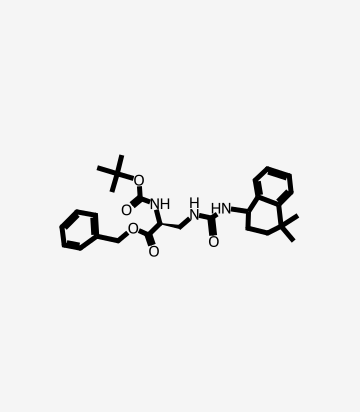 CC(C)(C)OC(=O)N[C@@H](CNC(=O)NC1CCC(C)(C)c2ccccc21)C(=O)OCc1ccccc1